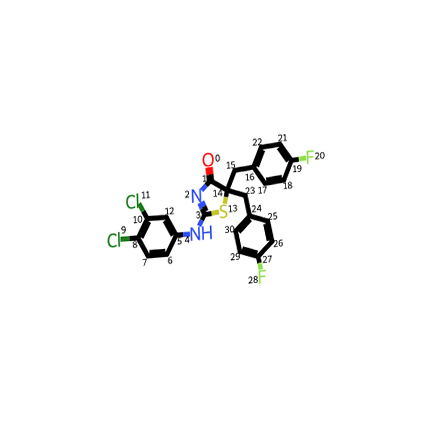 O=C1N=C(Nc2ccc(Cl)c(Cl)c2)SC1(Cc1ccc(F)cc1)Cc1ccc(F)cc1